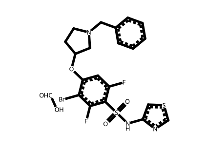 O=CO.O=S(=O)(Nc1cscn1)c1c(F)cc(OC2CCN(Cc3ccccc3)C2)c(Br)c1F